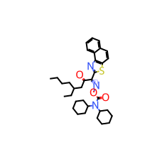 CCCCC(CC)CC(=O)/C(=N\OC(=O)N(C1CCCCC1)C1CCCCC1)c1nc2c(ccc3ccccc32)s1